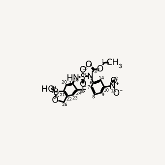 CCOC(=O)N(c1cccc([N+](=O)[O-])c1)S(=O)(=O)Nc1cc2c(cc1F)COB2O